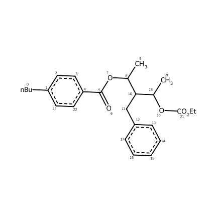 CCCCc1ccc(C(=O)OC(C)C(Cc2ccccc2)C(C)OC(=O)OCC)cc1